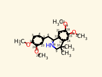 COc1ccc(CC2NCC(C)(C)c3cc(OC)c(OC)cc32)cc1OC